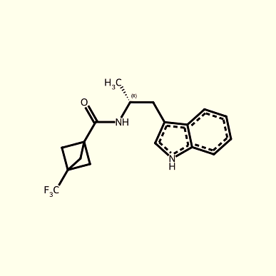 C[C@H](Cc1c[nH]c2ccccc12)NC(=O)C12CC(C(F)(F)F)(C1)C2